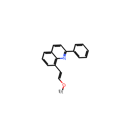 CCOC=Cc1cccc2ccc(-c3ccccc3)nc12